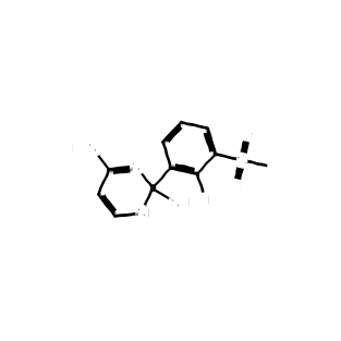 [2H]c1c(C2(N)N=C(N)C=CN2)cccc1S(C)(=O)=O